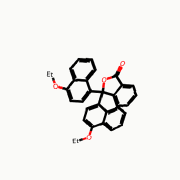 CCOc1ccc(C2(c3ccc(OCC)c4ccccc34)OC(=O)c3ccccc32)c2ccccc12